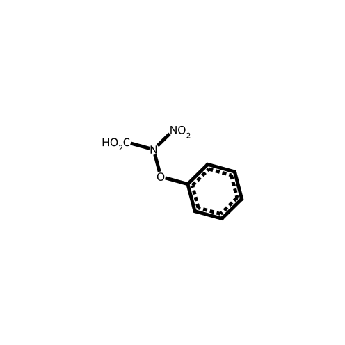 O=C(O)N(Oc1ccccc1)[N+](=O)[O-]